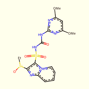 CC[S+]([O-])c1nc2ccccn2c1S(=O)(=O)NC(=O)Nc1nc(OC)cc(OC)n1